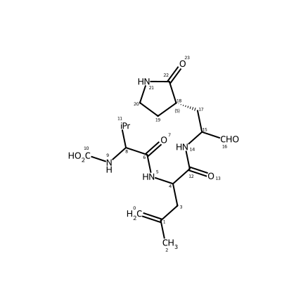 C=C(C)CC(NC(=O)C(NC(=O)O)C(C)C)C(=O)NC(C=O)C[C@@H]1CCNC1=O